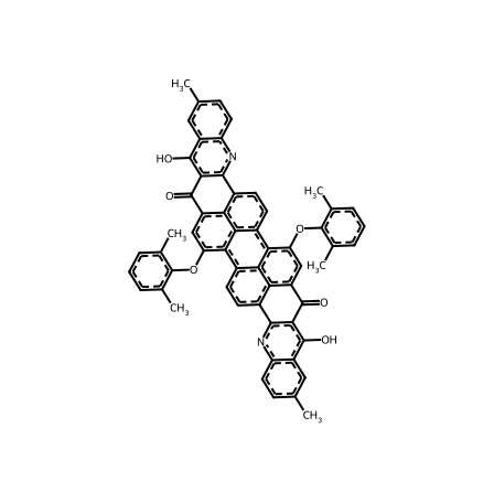 Cc1ccc2nc3c(c(O)c2c1)C(=O)c1cc(Oc2c(C)cccc2C)c2c4ccc5c6c(cc(Oc7c(C)cccc7C)c(c7ccc-3c1c72)c64)C(=O)c1c-5nc2ccc(C)cc2c1O